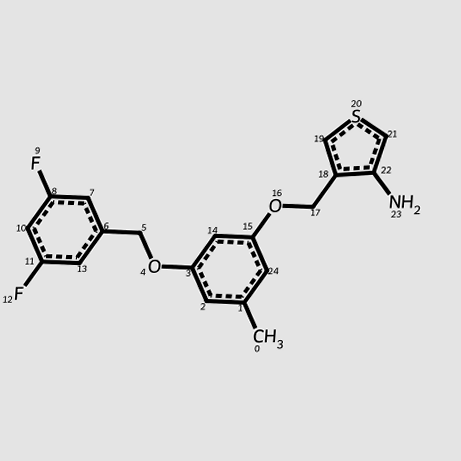 Cc1cc(OCc2cc(F)cc(F)c2)cc(OCc2cscc2N)c1